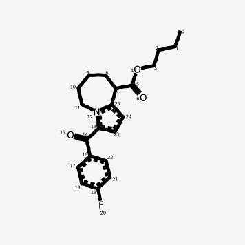 CCCCOC(=O)C1CCCCn2c(C(=O)c3ccc(F)cc3)ccc21